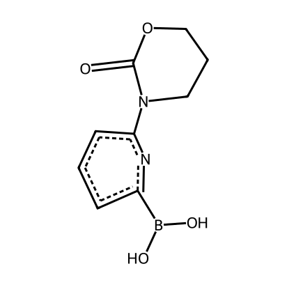 O=C1OCCCN1c1cccc(B(O)O)n1